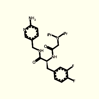 CC(C)N(CC(=O)N[C@@H](Cc1ccc(F)c(F)c1)C(=O)NCc1ccc(N)nc1)C(C)C